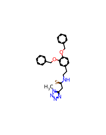 Cn1nnnc1CC(=S)NCCc1ccc(OCc2ccccc2)c(OCc2ccccc2)c1